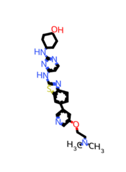 CN(C)CCOc1cncc(-c2ccc3nc(Nc4ccnc(NC5CCC(O)CC5)n4)sc3c2)c1